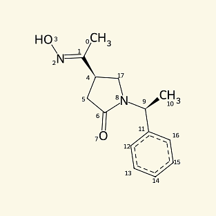 CC(=NO)[C@@H]1CC(=O)N([C@@H](C)c2ccccc2)C1